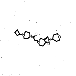 O=C(CN1CCc2nn(C3CCOCC3)cc2C1)N1CCN(C2CCC2)CC1